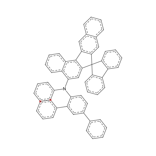 c1ccc(-c2ccc(N(c3ccccc3)c3cc4c(c5ccccc35)-c3cc5ccccc5cc3C43c4ccccc4-c4ccccc43)c(-c3ccccc3)c2)cc1